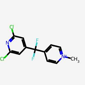 C[n+]1ccc(C(F)(F)c2cc(Cl)nc(Cl)c2)cc1